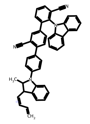 C=C/C=C\C1c2ccccc2N(c2ccc(-c3ccc(-c4cccc(C#N)c4-n4c5ccccc5c5ccccc54)cc3C#N)cc2)C1C